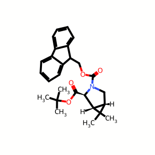 CC(C)(C)OC(=O)[C@@H]1[C@@H]2[C@H](CN1C(=O)OCC1c3ccccc3-c3ccccc31)C2(C)C